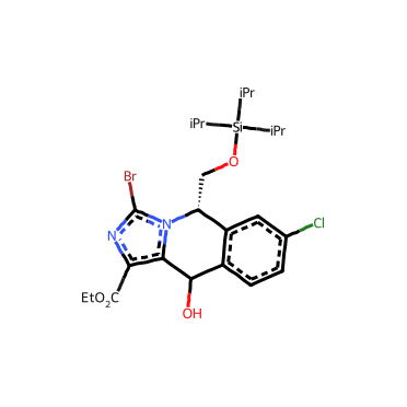 CCOC(=O)c1nc(Br)n2c1C(O)c1ccc(Cl)cc1[C@H]2CO[Si](C(C)C)(C(C)C)C(C)C